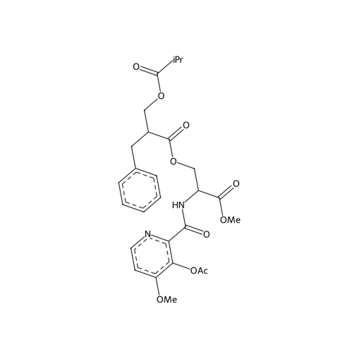 COC(=O)C(COC(=O)C(COC(=O)C(C)C)Cc1ccccc1)NC(=O)c1nccc(OC)c1OC(C)=O